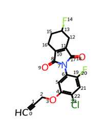 C#CCOc1cc(N2C(=O)C3=C(CC(F)CC3)C2=O)c(F)cc1Cl